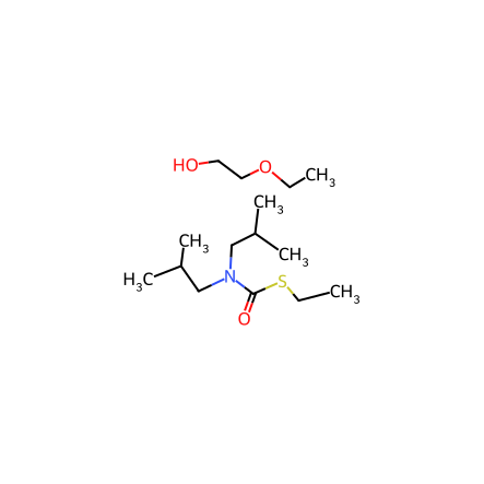 CCOCCO.CCSC(=O)N(CC(C)C)CC(C)C